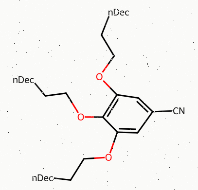 CCCCCCCCCCCCOc1cc(C#N)cc(OCCCCCCCCCCCC)c1OCCCCCCCCCCCC